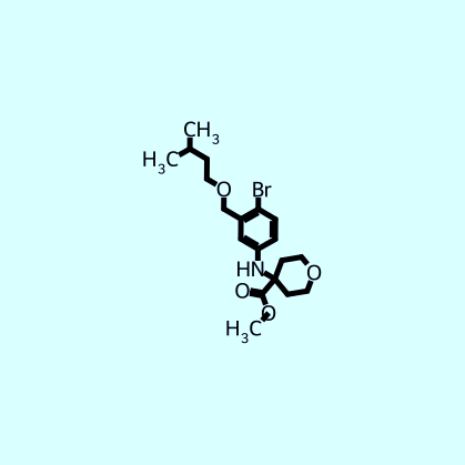 COC(=O)C1(Nc2ccc(Br)c(COCCC(C)C)c2)CCOCC1